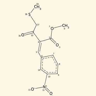 COC(=O)C(=Cc1cccc([N+](=O)[O-])c1)C(=O)CSC